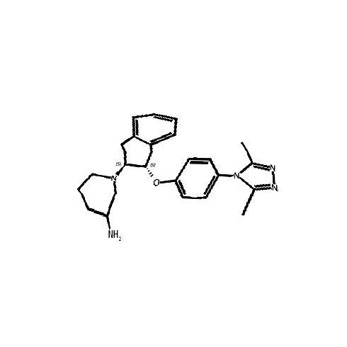 Cc1nnc(C)n1-c1ccc(O[C@H]2c3ccccc3C[C@@H]2N2CCCC(N)C2)cc1